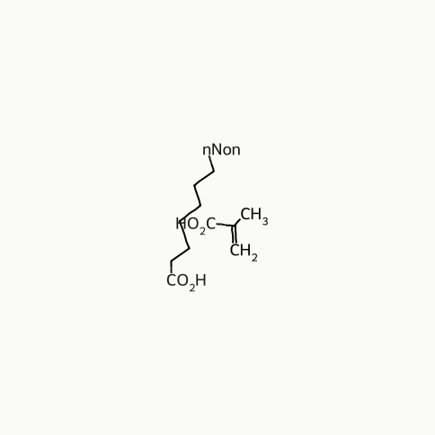 C=C(C)C(=O)O.CCCCCCCCCCCCCCCC(=O)O